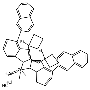 CCC1(CC2=Cc3c(-c4ccc5ccccc5c4)cccc3[CH]2[Zr]([CH3])([CH3])(=[SiH2])[CH]2C(CC3(CC)CCC3)=Cc3c(-c4ccc5ccccc5c4)cccc32)CCC1.Cl.Cl